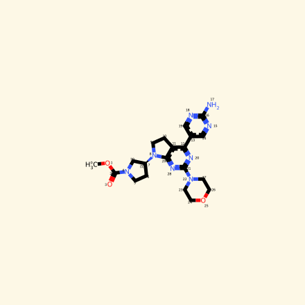 COC(=O)N1CC[C@H](N2CCc3c(-c4cnc(N)nc4)nc(N4CCOCC4)nc32)C1